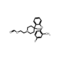 Cc1cc(F)ccc1Oc1ccccc1C1(O)CCN(CCOC=O)CC1